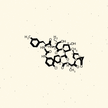 Cc1cccc(C[C@H](NC(=O)Nc2ccc(Cl)cc2)C(=O)N[C@H](C(=O)N2C[C@H](O)C[C@H]2C(=O)N2CCCC[C@H]2C(=O)N[C@@H](C)C(=O)N2C[C@@H](C)C[C@@]23CC3=O)[C@H](C)O)c1